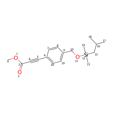 COC(=O)C#Cc1ccc(CO[Si](C)(C)CC(C)C)cc1